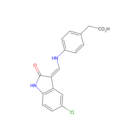 O=C(O)Cc1ccc(NC=C2C(=O)Nc3ccc(Cl)cc32)cc1